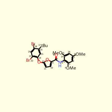 COc1cc(OC)c(NC(=O)c2ccc(Oc3cc(C(C)(C)C)c(Br)cc3Br)o2)c(OC)c1